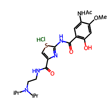 COc1cc(O)c(C(=O)Nc2nc(C(=O)NCCN(C(C)C)C(C)C)cs2)cc1NC(C)=O.Cl